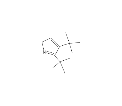 CC(C)(C)C1=CCN=C1C(C)(C)C